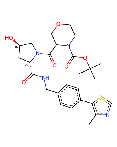 Cc1ncsc1-c1ccc(CNC(=O)[C@@H]2C[C@@H](O)CN2C(=O)C2COCCN2C(=O)OC(C)(C)C)cc1